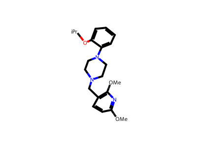 COc1ccc(CN2CCN(c3ccccc3OC(C)C)CC2)c(OC)n1